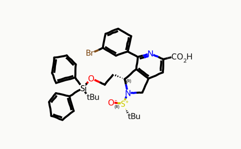 CC(C)(C)[S@+]([O-])N1Cc2cc(C(=O)O)nc(-c3cccc(Br)c3)c2[C@H]1CCO[Si](c1ccccc1)(c1ccccc1)C(C)(C)C